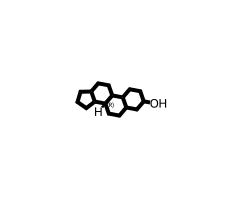 OC1CCC2C(CC[C@@H]3C4CCCC4CCC23)C1